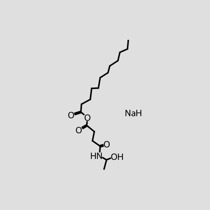 CCCCCCCCCCCC(=O)OC(=O)CCC(=O)NC(C)O.[NaH]